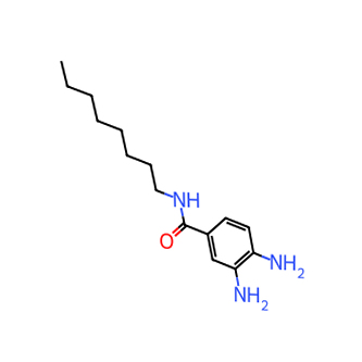 CCCCCCCCNC(=O)c1ccc(N)c(N)c1